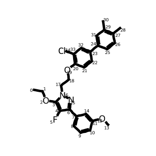 CCOc1c(F)c(-c2cccc(OC)c2)nn1CCOc1ccc(-c2ccc(C)c(C)c2)cc1Cl